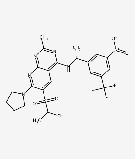 Cc1nc(N[C@H](C)c2cc([N+](=O)[O-])cc(C(F)(F)F)c2)c2cc(S(=O)(=O)C(C)C)c(N3CCCC3)nc2n1